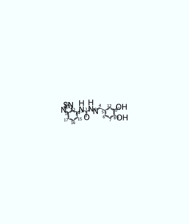 O=C(N/N=C/c1ccc(O)c(O)c1)Nc1cccc2nsnc12